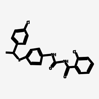 CC(Sc1ccc(NC(=O)NC(=O)c2ccccc2Cl)cc1)c1ccc(Cl)cc1